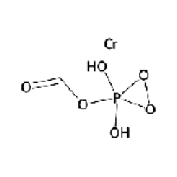 O=COP1(O)(O)OO1.[Cr]